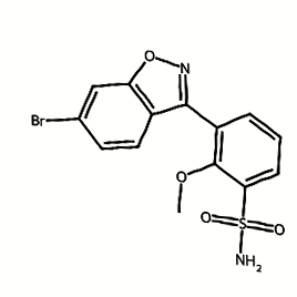 COc1c(-c2noc3cc(Br)ccc23)cccc1S(N)(=O)=O